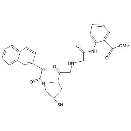 COC(=O)c1ccccc1NC(=O)CNCC(=O)C1CC(S)CN1C(=O)Nc1ccc2ccccc2c1